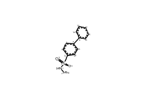 CCCCNS(=O)(=O)c1ccc(-c2ccccc2)cc1